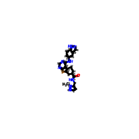 Cn1nccc1CNC(=O)C1CCc2c(sc3ncnc(Nc4ccc5[nH]ncc5c4)c23)C1